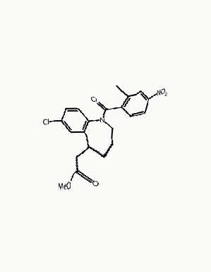 COC(=O)CC1CCCN(C(=O)c2ccc([N+](=O)[O-])cc2C)c2ccc(Cl)cc21